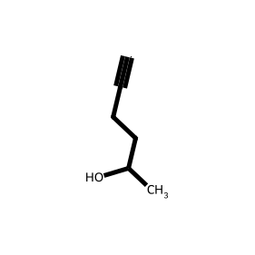 [C]#CCCC(C)O